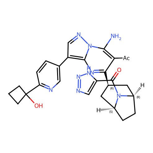 CC(=O)c1c([C@H]2C[C@H]3CC[C@@H](C2)N3C(=O)c2cnn[nH]2)nc2c(-c3ccc(C4(O)CCC4)nc3)cnn2c1N